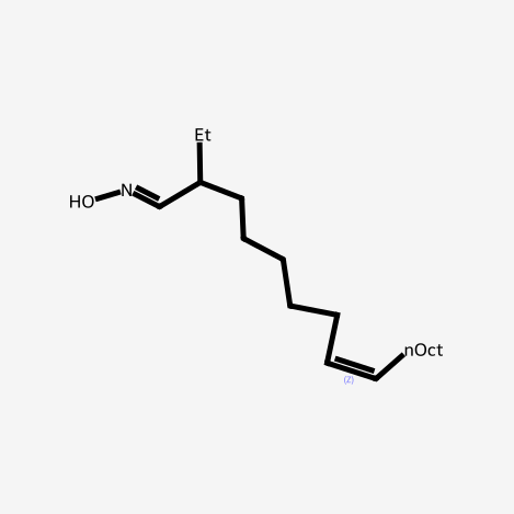 CCCCCCCC/C=C\CCCCCC(C=NO)CC